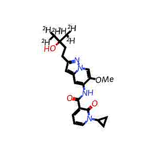 [2H]C([2H])([2H])C(O)(CCc1cc2cc(NC(=O)c3cccn(C4CC4)c3=O)c(OC)cn2n1)C([2H])([2H])[2H]